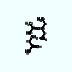 CC(=O)O.CCOCC.NCC(=O)O